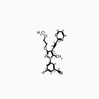 COCCOc1nn(-c2cc(F)cc(C#N)c2)c(C)c1C#Cc1ncccn1